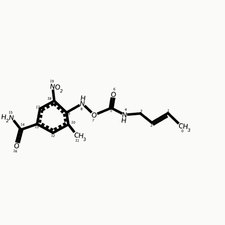 CC=CCNC(=O)ONc1c(C)cc(C(N)=O)cc1[N+](=O)[O-]